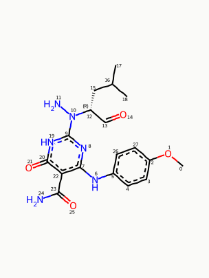 COc1ccc(Nc2nc(N(N)[C@@H](C=O)CC(C)C)[nH]c(=O)c2C(N)=O)cc1